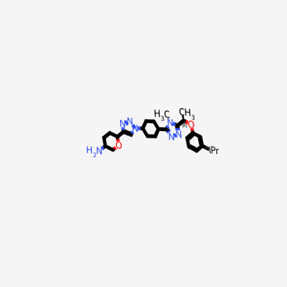 CC(C)c1cccc(O[C@H](C)c2nnc(C3CCC(n4cc(C5CCC(N)CO5)nn4)CC3)n2C)c1